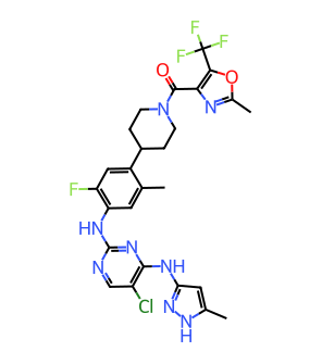 Cc1cc(Nc2nc(Nc3cc(C)c(C4CCN(C(=O)c5nc(C)oc5C(F)(F)F)CC4)cc3F)ncc2Cl)n[nH]1